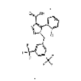 O=C(O)c1nnn(Cc2cc(C(F)(F)F)cc(C(F)(F)F)c2)c1-c1ccccc1Cl